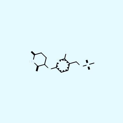 CS(=O)(=O)OCc1ccc(NC2CCC(=O)NC2=O)nc1F